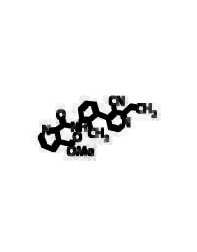 C=Cc1nccc(-c2cccc(NC(=O)c3ncccc3C(=O)OC)c2C)c1C#N